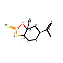 C=C(C)[C@H]1CC[C@@]2(C)S[PH](=S)O[C@@H]2C1